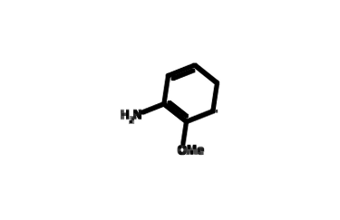 COC1=C(N)C=CC[CH]1